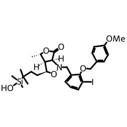 COc1ccc(COc2c(I)cccc2CN2O[C@@H](CCC(C)(C)[Si](C)(C)O)[C@H]3[C@H](C)OC(=O)[C@H]32)cc1